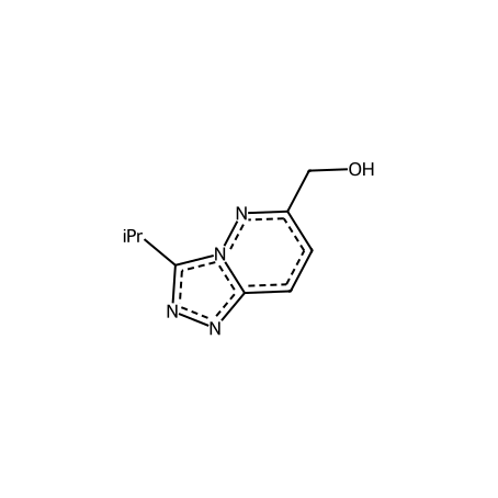 CC(C)c1nnc2ccc(CO)nn12